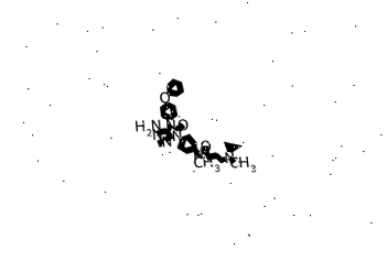 CN(C(=O)C=CCN(C)C1CC1)c1ccc(-n2c(=O)n(-c3ccc(Oc4ccccc4)cc3)c3c(N)ncnc32)cc1